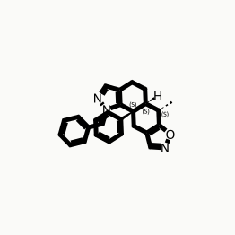 C[C@@H]1c2oncc2C[C@]2(c3ccccc3)c3c(cnn3Cc3ccccc3)CC[C@@H]12